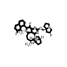 Cc1c(F)ccc2cccc(-c3nc4c5c(nc(OC[C@@]67CCCN6C[C@H](F)C7)nc5c3F)N3C[C@H]5CC[C@H](N5)[C@@H]3[C@@H](C)CC4)c12